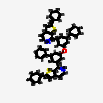 c1ccc(-c2cc(Oc3cc(-c4ccccc4)cc(-c4nccc5cc(-c6ccccc6)sc45)c3)cc(-c3nccc4cc(-c5ccccc5)sc34)c2)cc1